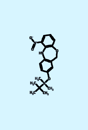 CC(C)(C)[Si](C)(C)Oc1ccc2c(c1)COc1cccc([N+](=O)[O-])c1N2